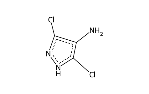 Nc1c(Cl)n[nH]c1Cl